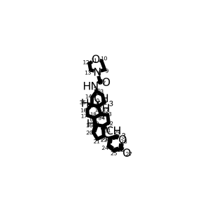 C[C@]12CC[C@H](NC(=O)N3CCOCC3)C[C@H]1CC[C@H]1C3=CC[C@H](c4ccc(=O)oc4)[C@@]3(C)CC[C@@H]12